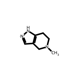 CN1CCC2=C(C=[N+]N2)C1